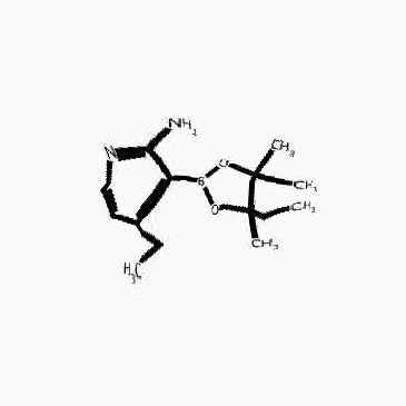 CCc1ccnc(N)c1B1OC(C)(C)C(C)(C)O1